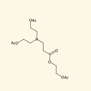 CC(=O)OCCOC(=O)CCN(CCOC(C)=O)CCOC(C)=O